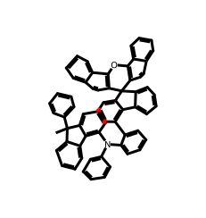 CC1(c2ccccc2)c2ccccc2-c2c(N(c3ccccc3)c3ccccc3-c3cccc4c3-c3ccccc3C43c4ccc5ccccc5c4Oc4c3ccc3ccccc43)cccc21